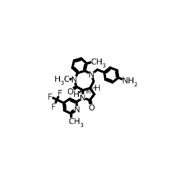 Cc1cc(C(F)(F)F)cc(N2C(=O)C[C@@H]3CN(Cc4ccc(N)cc4)c4c(C)cccc4N(C)C(=O)[C@H]32)n1